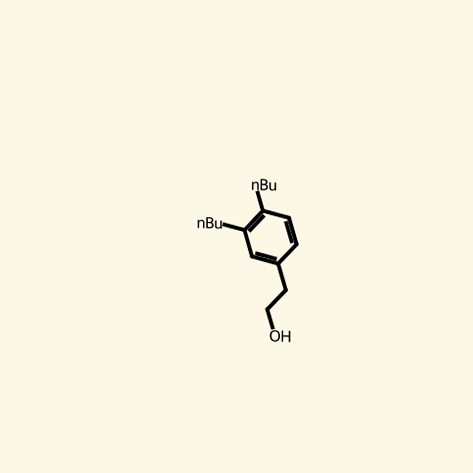 CCCCc1ccc(CCO)cc1CCCC